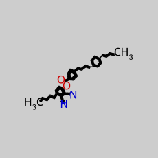 CCCCCc1ccc(OC(=O)c2ccc(CCCC[C@H]3CC[C@H](CCCCC)CC3)cc2)c(C#N)c1C#N